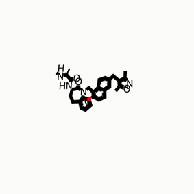 CN[C@@H](C)C(=O)NC1CCc2ccccc2N(Cc2c(OC)ccc3cc(Cc4c(C)noc4C)ccc23)C1=O